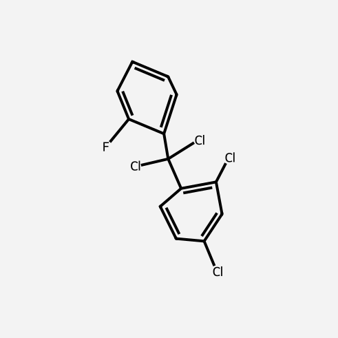 Fc1ccccc1C(Cl)(Cl)c1ccc(Cl)cc1Cl